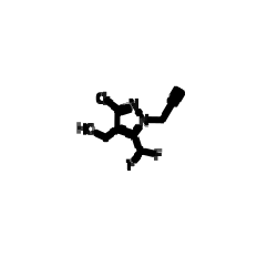 C#CCn1nc(Cl)c(CO)c1C(F)F